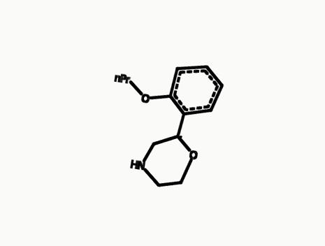 CCCOc1ccccc1[C]1CNCCO1